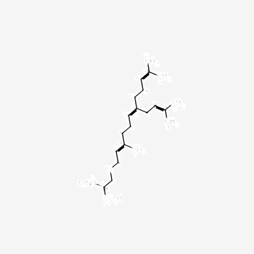 CC(=O)N[C@@H](CSC/C=C(\C)CC/C=C(\CC=C(C)C)CCC=C(C)C)C(=O)O